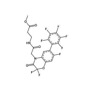 COC(=O)CCNC(=O)CN1C(=O)C(F)(F)Oc2cc(F)c(-c3c(F)c(F)c(F)c(F)c3F)cc21